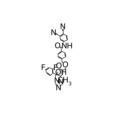 CC(CC1COC(c2ccc(C(=O)Nc3ccc(C#N)c(C#N)c3)cc2)OC1)C(O)(Cn1cncn1)c1ccc(F)cc1F